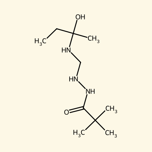 CCC(C)(O)NCNNC(=O)C(C)(C)C